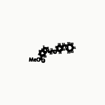 COC(=O)c1ccc2ccn(CCOc3ccc(CN4CCCCCC4)cc3)c2c1